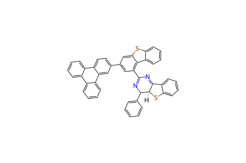 c1ccc(C2N=C(c3cc(-c4ccc5c6ccccc6c6ccccc6c5c4)cc4sc5ccccc5c34)N=C3c4ccccc4S[C@H]32)cc1